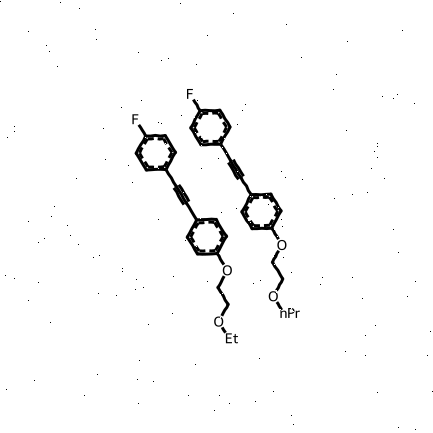 CCCOCCOc1ccc(C#Cc2ccc(F)cc2)cc1.CCOCCOc1ccc(C#Cc2ccc(F)cc2)cc1